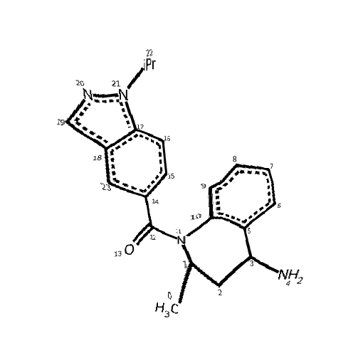 CC1CC(N)c2ccccc2N1C(=O)c1ccc2c(cnn2C(C)C)c1